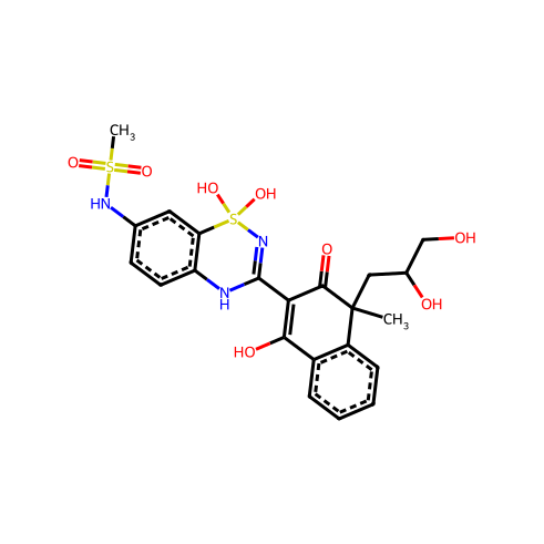 CC1(CC(O)CO)C(=O)C(C2=NS(O)(O)c3cc(NS(C)(=O)=O)ccc3N2)=C(O)c2ccccc21